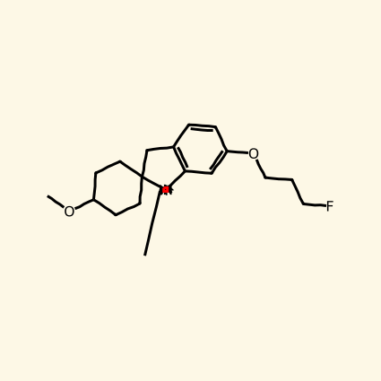 COC1CCC2(CC1)Cc1ccc(OCCCF)cc1C21N=CC(C)=N1